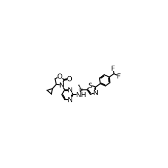 C[C@H](Nc1nccc(N2C(=O)OCC2C2CC2)n1)c1cnc(-c2ccc(C(F)F)cc2)s1